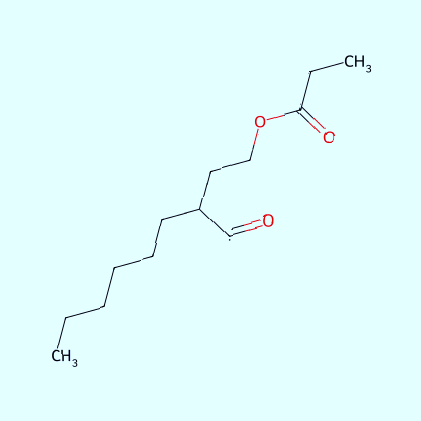 CCCCCCC([C]=O)CCOC(=O)CC